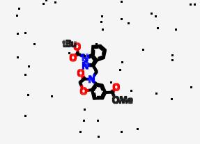 COC(=O)c1ccc2c(c1)N(Cc1nn(C(=O)OC(C)(C)C)c3ccccc13)C(=O)CO2